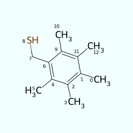 Cc1c(C)c(C)c(CS)c(C)c1C